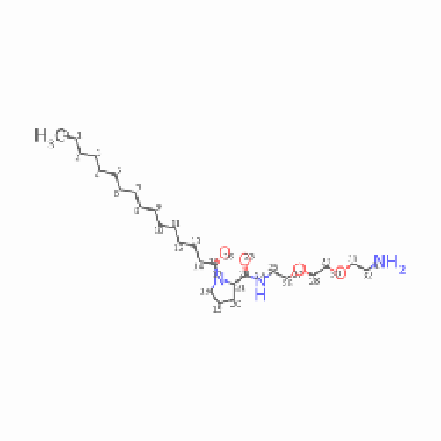 CCCCCCCCCCCCCCCC(=O)N1CCCC1C(=O)NCCOCCOCCN